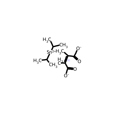 C/C(C(=O)[O-])=C(\C)C(=O)[O-].C[CH](C)[Sn+2][CH](C)C